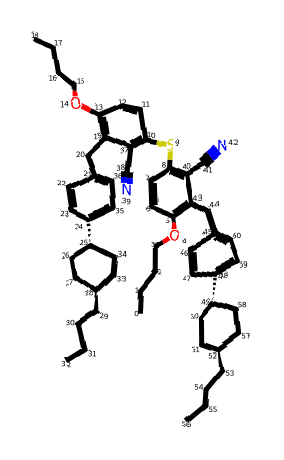 CCCCOc1ccc(Sc2ccc(OCCCC)c(Cc3ccc([C@H]4CC[C@H](CCCC)CC4)cc3)c2C#N)c(C#N)c1Cc1ccc([C@H]2CC[C@H](CCCC)CC2)cc1